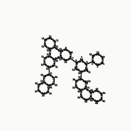 c1ccc(-c2nc(-c3ccc4c5ccccc5c5ccc(-c6ccc7ccccc7c6)cc5c4c3)nc(-c3ccc4ccc5ccccc5c4n3)n2)cc1